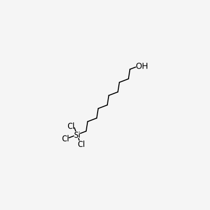 OCCCCCCCCCC[Si](Cl)(Cl)Cl